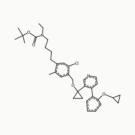 CCN(CCCCc1cc(Cl)c(COC2(c3cnccc3-c3ccccc3OC3CC3)CC2)cc1C)C(=O)OC(C)(C)C